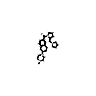 CN1CCN(C2CCc3cc(C(=O)N4CCCC4CN4CCCC4)ccc3C2)CC1